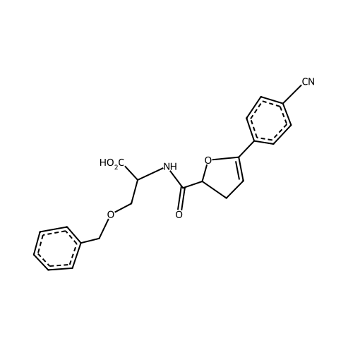 N#Cc1ccc(C2=CCC(C(=O)NC(COCc3ccccc3)C(=O)O)O2)cc1